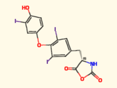 O=C1N[C@@H](Cc2cc(I)c(Oc3ccc(O)c(I)c3)c(I)c2)C(=O)O1